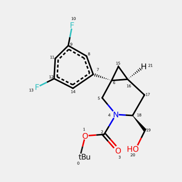 CC(C)(C)OC(=O)N1C[C@@]2(c3cc(F)cc(F)c3)C[C@H]2C[C@H]1CO